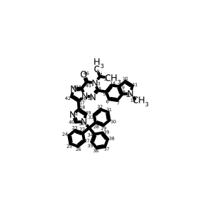 CC(C)n1c(-c2ccc3c(ccn3C)c2)nn2c(-c3cn(C(c4ccccc4)(c4ccccc4)c4ccccc4)cn3)cnc2c1=O